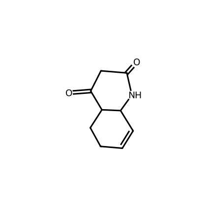 O=C1CC(=O)C2CCC=CC2N1